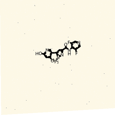 Cc1cc(O)ncc1-c1cc(C(=O)Nc2c(F)cncc2F)nn1C